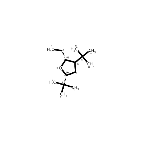 CC[C@H]1O[C@@H](C(C)(C)C)CC1C(C)(C)C